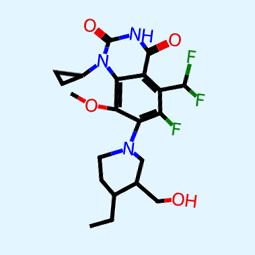 CCC1CCN(c2c(F)c(C(F)F)c3c(=O)[nH]c(=O)n(C4CC4)c3c2OC)CC1CO